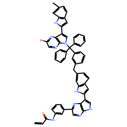 C=CC(=O)Nc1cccc(-c2cnc3[nH]cc(-c4cc5ccc(Cc6cccc(C(c7ccccc7)(c7ccccc7)n7cc(-c8cc9ccc(C)cc9[nH]8)c8nc(Br)cnc87)c6)cc5[nH]4)c3n2)c1